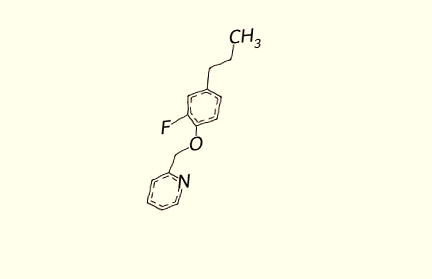 CCCc1ccc(OCc2ccccn2)c(F)c1